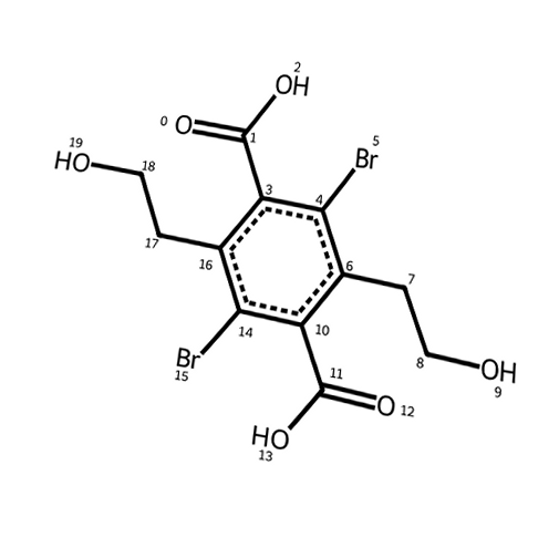 O=C(O)c1c(Br)c(CCO)c(C(=O)O)c(Br)c1CCO